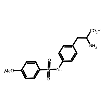 COc1ccc(S(=O)(=O)Nc2ccc(CC(N)C(=O)O)cc2)cc1